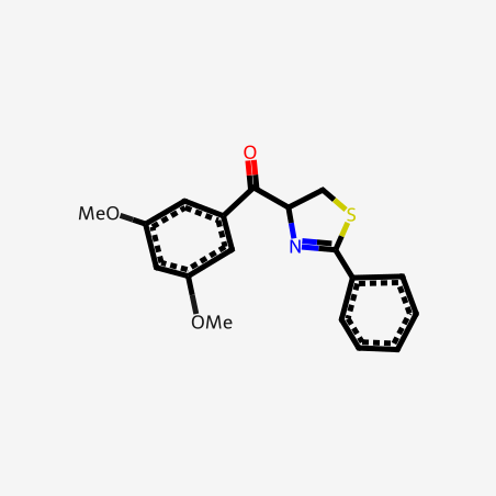 COc1cc(OC)cc(C(=O)C2CSC(c3ccccc3)=N2)c1